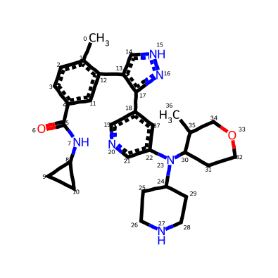 Cc1ccc(C(=O)NC2CC2)cc1-c1c[nH]nc1-c1cncc(N(C2CCNCC2)C2CCOCC2C)c1